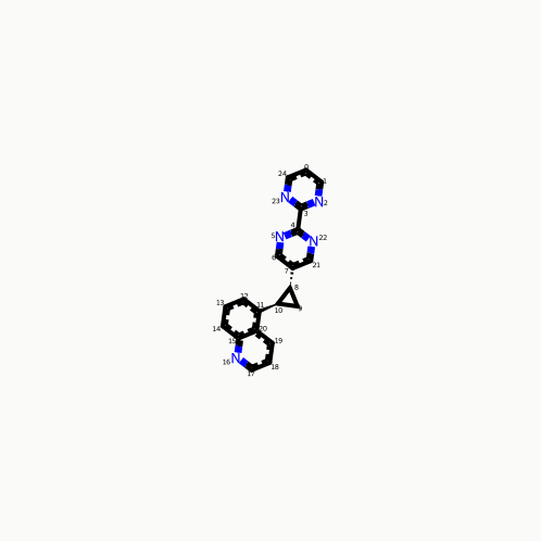 c1cnc(-c2ncc([C@@H]3C[C@H]3c3cccc4ncccc34)cn2)nc1